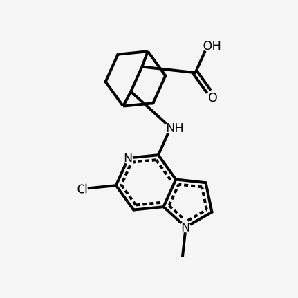 Cn1ccc2c(NC3C4CCC(CC4)C3C(=O)O)nc(Cl)cc21